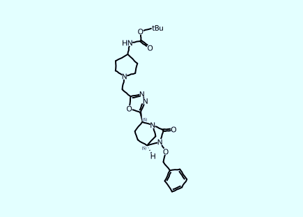 CC(C)(C)OC(=O)NC1CCN(Cc2nnc([C@@H]3CC[C@H]4CN3C(=O)N4OCc3ccccc3)o2)CC1